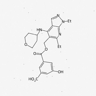 CCc1nc2c(cnn2CC)c(NC2CCOCC2)c1COC(=O)c1cc(O)cc(C(=O)O)c1